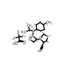 CC1CCC(N(C(C)C)N2OCC2N2CSCC2C#N)CC1.O=C(O)C(F)(F)F